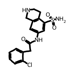 NS(=O)(=O)c1cc(NC(=O)Cc2ccccc2Cl)cc2c1CCNC2